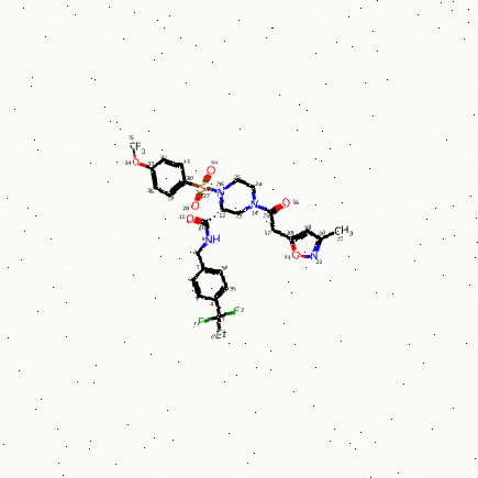 CCC(F)(F)c1ccc(CNC(=O)[C@H]2CN(C(=O)Cc3cc(C)no3)CCN2S(=O)(=O)c2ccc(OC(F)(F)F)cc2)cc1